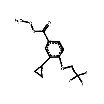 COOC(=O)c1ccc(OCC(F)(F)F)c(C2CC2)c1